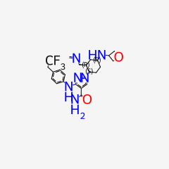 C=NC[C@H]1C[C@H](NC2COC2)CC[C@@H]1n1cc(C(N)=O)c(Nc2ccc(CC(F)(F)F)cc2)n1